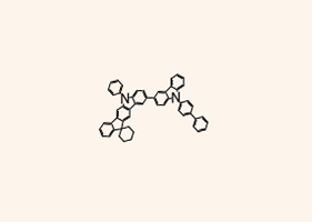 c1ccc(-c2ccc(-n3c4ccccc4c4cc(-c5ccc6c(c5)c5cc7c(cc5n6-c5ccccc5)-c5ccccc5C75CCCCC5)ccc43)cc2)cc1